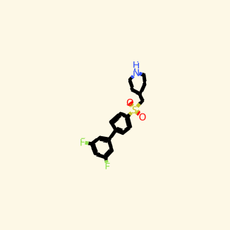 O=S(=O)(CC1CCNCC1)c1ccc(-c2cc(F)cc(F)c2)cc1